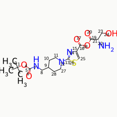 CC(C)(C)OC(=O)NCC1CCN(c2nc(C(=O)OC(=O)[C@@H](N)CO)cs2)CC1